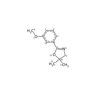 COc1cccc(C2=NCC(C)(C)O2)c1